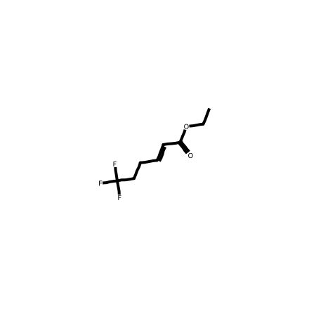 CCOC(=O)C=CCCC(F)(F)F